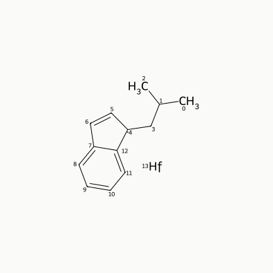 CC(C)C[C]1C=Cc2ccccc21.[Hf]